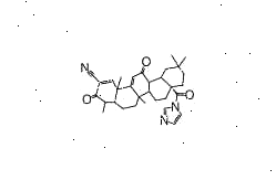 CC1C(=O)C(C#N)=CC2(C)C3=CC(=O)C4C(CC[C@@]5(C(=O)n6ccnc6)CCC(C)(C)CC45)C3(C)CCC12